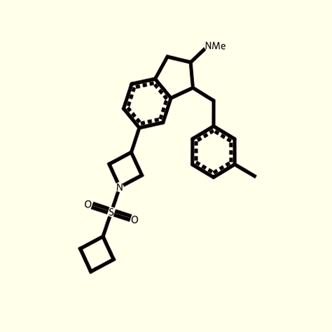 CNC1Cc2ccc(C3CN(S(=O)(=O)C4CCC4)C3)cc2C1Cc1cccc(C)c1